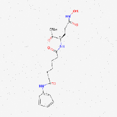 COC(=O)[C@@H](CCC(=O)NO)NC(=O)CCCCC(=O)Nc1ccccc1